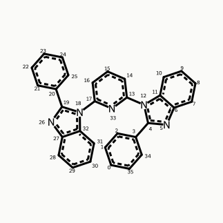 c1ccc(-c2nc3ccccc3n2-c2cccc(-n3c(-c4ccccc4)nc4ccccc43)n2)cc1